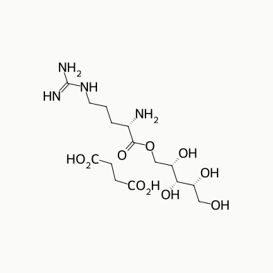 N=C(N)NCCC[C@H](N)C(=O)OC[C@H](O)[C@@H](O)[C@H](O)CO.O=C(O)CCC(=O)O